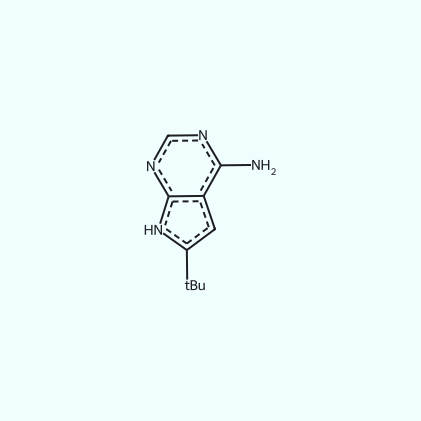 CC(C)(C)c1cc2c(N)ncnc2[nH]1